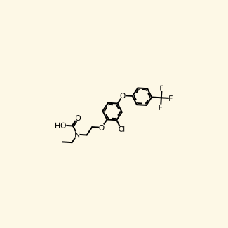 CCN(CCOc1ccc(Oc2ccc(C(F)(F)F)cc2)cc1Cl)C(=O)O